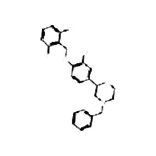 Fc1cccc(Cl)c1COc1ccc(C2CN(Cc3ccccc3)CCO2)cc1Cl